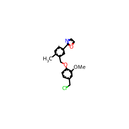 COc1cc(CCl)ccc1OCc1cc(-c2ncco2)[c]cc1C